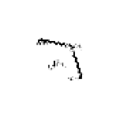 CCCCCCCC/C=C\CCCCCCCCOCC(C)OCCCCCCCC/C=C\CCCCCCCC.CN(C)C